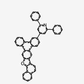 c1ccc(-c2cc(-c3ccc4c(c3)c3ccccc3c3cc5oc6c7ccccc7ccc6c5cc43)cc(-c3ccccc3)n2)cc1